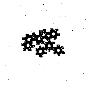 c1ccc(-c2cc(-c3ccccc3)cc(-n3c4ccccc4c4cnc5c(ccc6c5sc5ccc7ccccc7c56)c43)c2)cc1